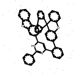 C1=C(c2ccccc2-c2ccc3c(c2)Oc2ccccc2C32c3ccccc3-c3ccccc32)N=C(c2ccccc2)NC1c1ccc2c(c1)oc1ccccc12